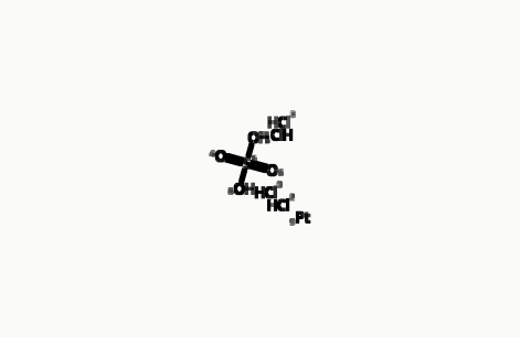 Cl.Cl.Cl.Cl.O=S(=O)(O)O.[Pt]